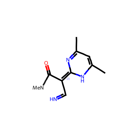 CNC(=O)/C(C=N)=C1\N=C(C)C=C(C)N1